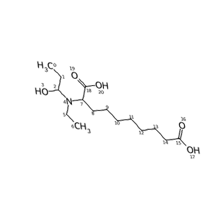 CCC(O)N(CC)C(CCCCCCCC(=O)O)C(=O)O